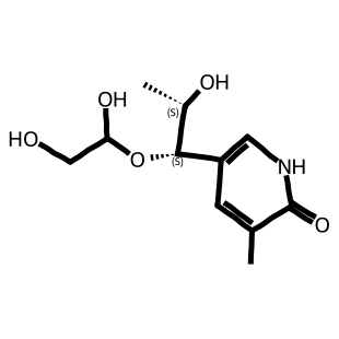 Cc1cc([C@H](OC(O)CO)[C@H](C)O)c[nH]c1=O